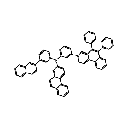 c1ccc(-c2c(-c3ccccc3)c3cc(-c4cccc(N(c5cccc(-c6ccc7ccccc7c6)c5)c5ccc6c(ccc7ccccc76)c5)c4)ccc3c3ccccc23)cc1